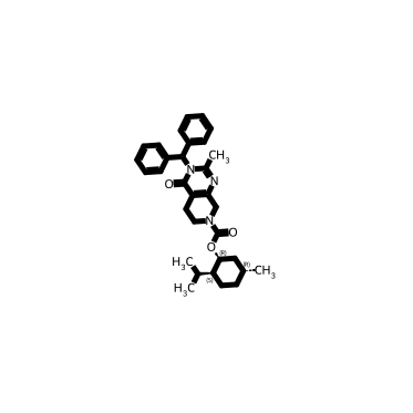 Cc1nc2c(c(=O)n1C(c1ccccc1)c1ccccc1)CCN(C(=O)O[C@@H]1C[C@H](C)CC[C@H]1C(C)C)C2